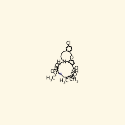 CCO[C@]1(C=O)/C=C/C[C@H](C)[C@@H](C)S(=O)(=O)NC(=O)c2ccc3c(c2)N(CCCCc2cc(Cl)ccc2CO3)C[C@@H]2CC[C@H]21